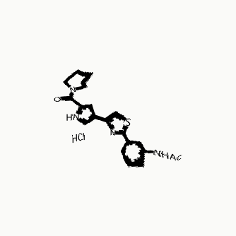 CC(=O)Nc1cccc(-c2nc(-c3c[nH]c(C(=O)N4CCCC4)c3)cs2)c1.Cl